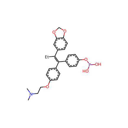 CCC(=C(c1ccc(OCCN(C)C)cc1)c1ccc(OP(O)O)cc1)c1ccc2c(c1)OCO2